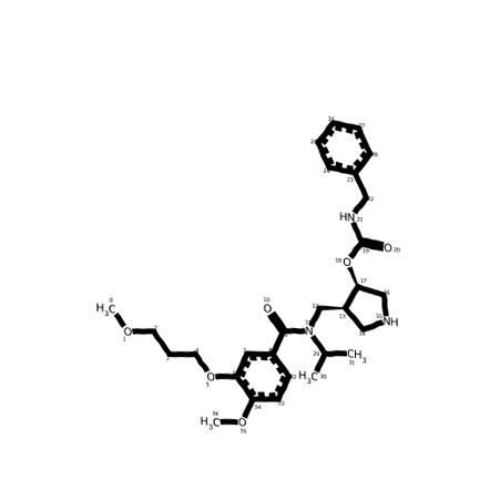 COCCCOc1cc(C(=O)N(C[C@@H]2CNC[C@@H]2OC(=O)NCc2ccccc2)C(C)C)ccc1OC